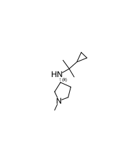 CN1CC[C@@H](NC(C)(C)C2CC2)C1